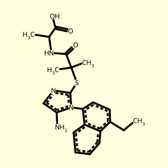 CCc1ccc(-n2c(N)cnc2SC(C)(C)C(=O)NC(C)C(=O)O)c2ccccc12